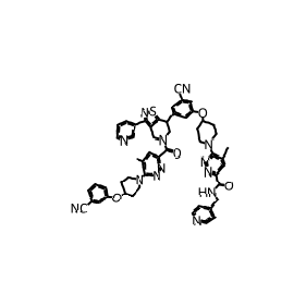 Cc1cc(C(=O)NCc2ccncc2)nnc1N1CCC(Oc2cc(C#N)cc(C3CN(C(=O)c4cc(C)c(N5CCC(Oc6cccc(C#N)c6)CC5)nn4)Cc4c(-c5cccnc5)nsc43)c2)CC1